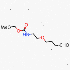 COCOC(=O)NCCOCCCC=O